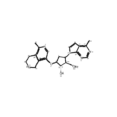 Cc1ncc(OC2CC(n3ccc4c(C)ncnc43)C(O)[C@@H]2O)c2c1CCNC2